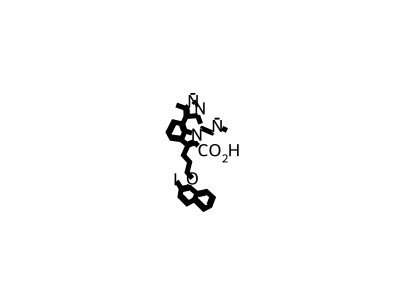 Cc1nn(C)c(C)c1-c1cccc2c(CCCOc3c(I)ccc4ccccc34)c(C(=O)O)n(CCN(C)C)c12